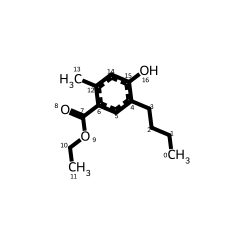 CCCCc1cc(C(=O)OCC)c(C)cc1O